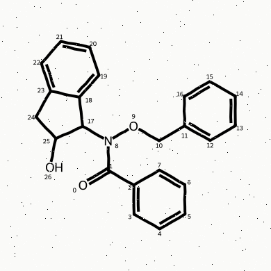 O=C(c1ccccc1)N(OCc1ccccc1)C1c2ccccc2CC1O